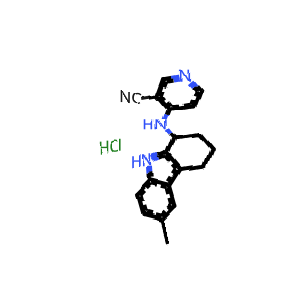 Cc1ccc2[nH]c3c(c2c1)CCCC3Nc1ccncc1C#N.Cl